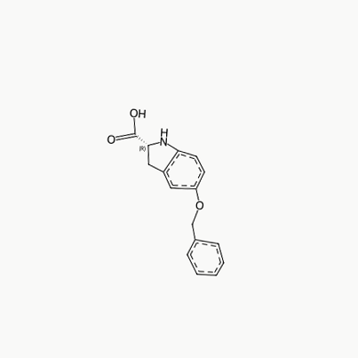 O=C(O)[C@H]1Cc2cc(OCc3ccccc3)ccc2N1